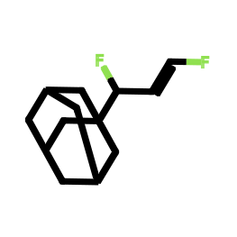 FC=CC(F)C12CC3CC(CC(C3)C1)C2